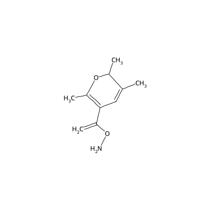 C=C(ON)C1=C(C)OC(C)C(C)=C1